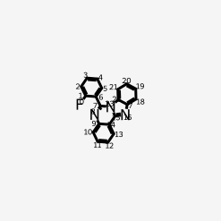 Fc1ccccc1-c1nc2ccccc2c2nc3ccccc3n12